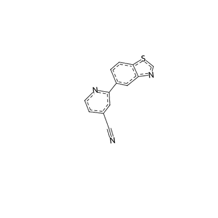 N#Cc1ccnc(-c2ccc3scnc3c2)c1